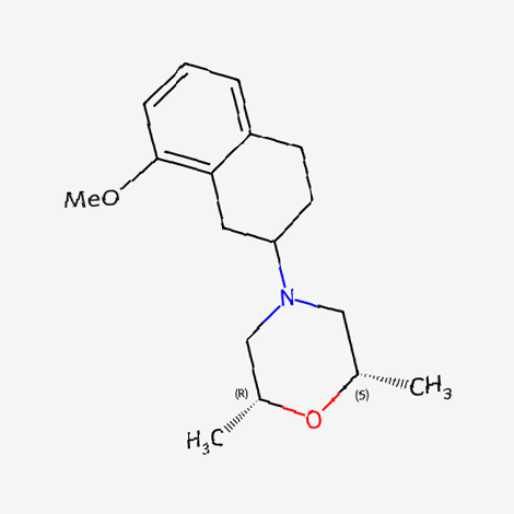 COc1cccc2c1CC(N1C[C@@H](C)O[C@@H](C)C1)CC2